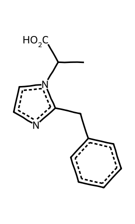 CC(C(=O)O)n1ccnc1Cc1ccccc1